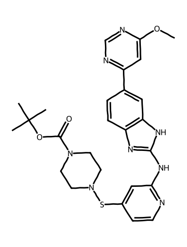 COc1cc(-c2ccc3nc(Nc4cc(SN5CCN(C(=O)OC(C)(C)C)CC5)ccn4)[nH]c3c2)ncn1